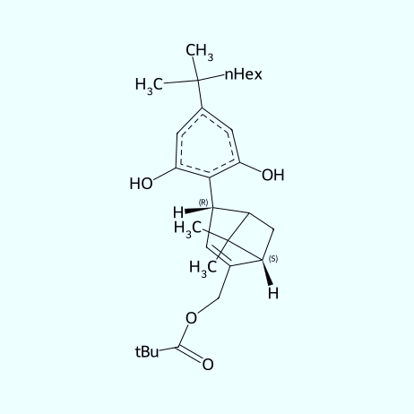 CCCCCCC(C)(C)c1cc(O)c([C@H]2C=C(COC(=O)C(C)(C)C)[C@H]3CC2C3(C)C)c(O)c1